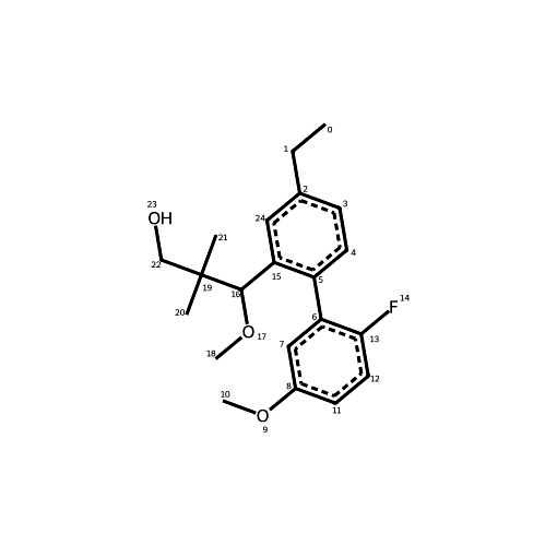 CCc1ccc(-c2cc(OC)ccc2F)c(C(OC)C(C)(C)CO)c1